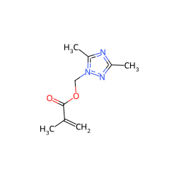 C=C(C)C(=O)OCn1nc(C)nc1C